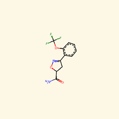 NC(=O)C1CC(c2ccccc2OC(F)(F)F)=NO1